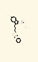 CC(C)c1ccc2c(CCCCNS(=O)(=O)c3ccc(C(F)(F)F)cc3)cc(OS(=O)(=O)[O-])c-2cc1.[Na+]